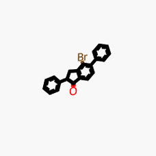 O=C1c2ccc(-c3ccccc3)c(Br)c2CC1c1ccccc1